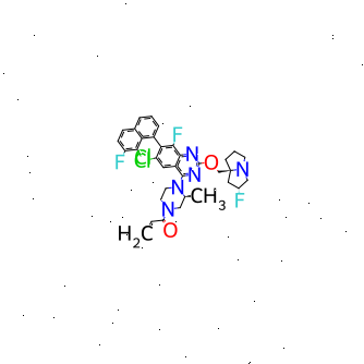 C=CC(=O)N1CCN(c2nc(OC[C@@]34CCCN3C[C@H](F)C4)nc3c(F)c(-c4cccc5ccc(F)c(Cl)c45)c(Cl)cc23)[C@@H](C)C1